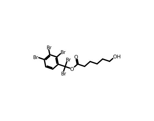 O=C(CCCCCO)OC(Br)(Br)c1ccc(Br)c(Br)c1Br